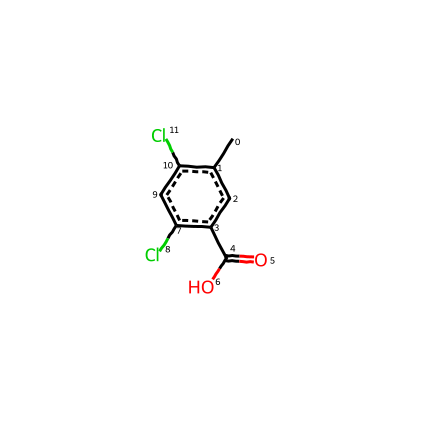 Cc1cc(C(=O)O)c(Cl)cc1Cl